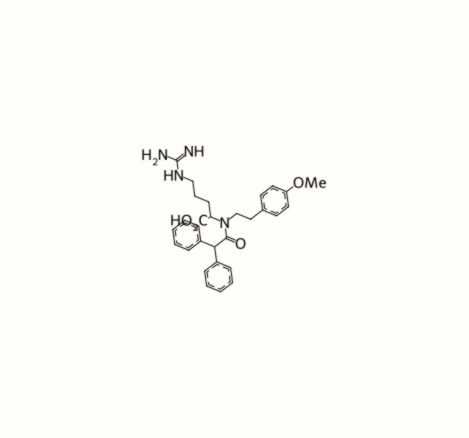 COc1ccc(CCN(C(=O)C(c2ccccc2)c2ccccc2)[C@@H](CCCNC(=N)N)C(=O)O)cc1